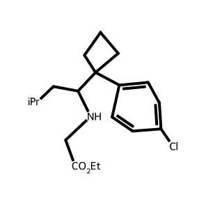 CCOC(=O)CNC(CC(C)C)C1(c2ccc(Cl)cc2)CCC1